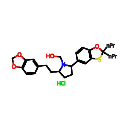 CCCC1(CCC)Oc2ccc(C3CCC(CCc4ccc5c(c4)OCO5)N3CO)cc2S1.Cl